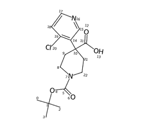 CC(C)(C)OC(=O)N1CCC(C(=O)O)(c2cnccc2Cl)CC1